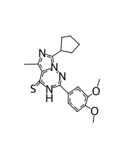 COc1ccc(-c2nn3c(C4CCCC4)nc(C)c3c(=S)[nH]2)cc1OC